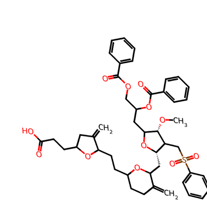 C=C1CC(CCC(=O)O)OC1CCC1CCC(=C)C(C[C@@H]2OC(CC(COC(=O)c3ccccc3)OC(=O)c3ccccc3)[C@H](OC)C2CS(=O)(=O)c2ccccc2)O1